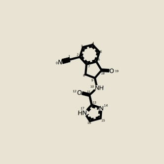 N#Cc1cccc2c1CC(NC(=O)c1ncc[nH]1)C2=O